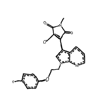 CN1C(=O)C(Cl)=C(c2cn(CCOc3ccc(F)cc3)c3ncccc23)C1=O